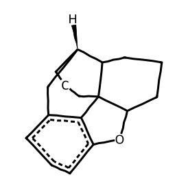 c1cc2c3c(c1)OC1CCCC4[C@H](CCCC314)C2